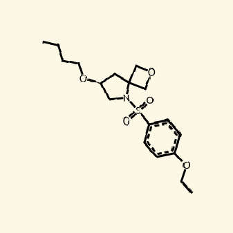 CCCCO[C@@H]1CN(S(=O)(=O)c2ccc(OCC)cc2)C2(COC2)C1